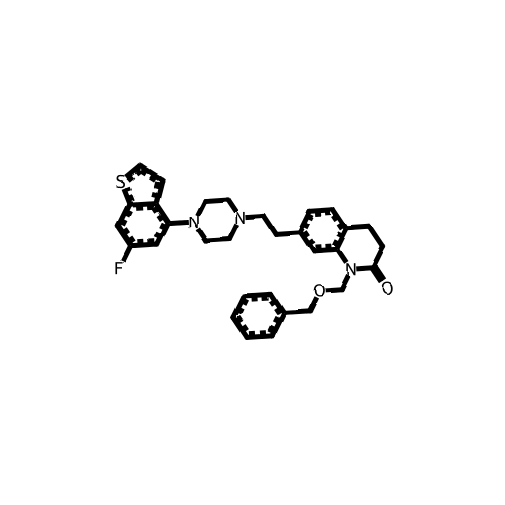 O=C1CCc2ccc(CCN3CCN(c4cc(F)cc5sccc45)CC3)cc2N1COCc1ccccc1